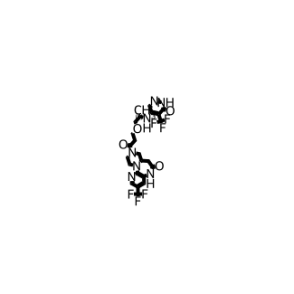 C[C@@H](COCCC(=O)N1CCN2c3ncc(C(F)(F)F)cc3NC(=O)CC2C1)Nc1cn[nH]c(=O)c1C(F)(F)F